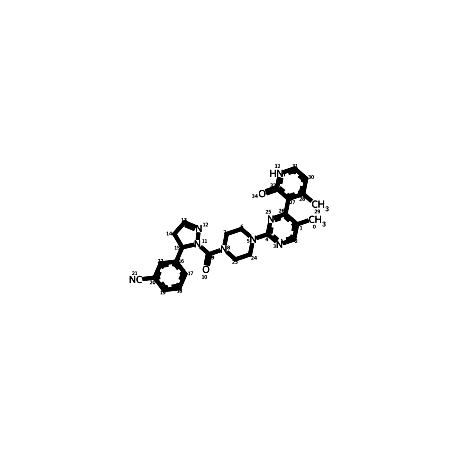 Cc1cnc(N2CCN(C(=O)N3N=CCC3c3cccc(C#N)c3)CC2)nc1-c1c(C)cc[nH]c1=O